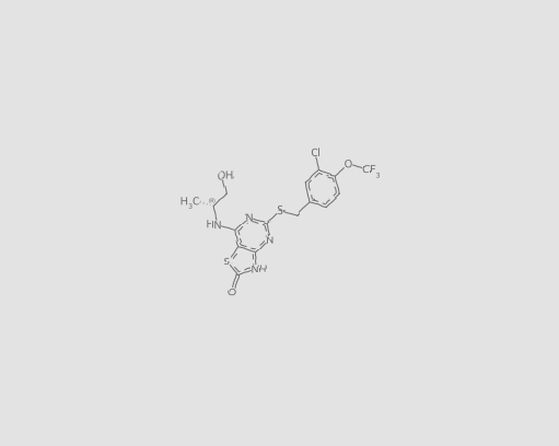 C[C@H](CO)Nc1nc(SCc2ccc(OC(F)(F)F)c(Cl)c2)nc2[nH]c(=O)sc12